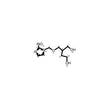 O=[N+]([O-])c1nccn1COCC(CO)CCO